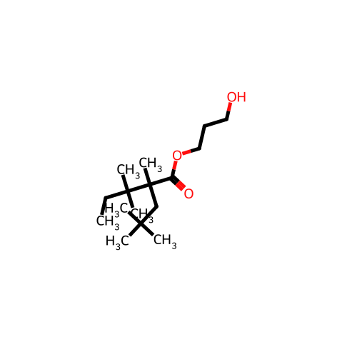 CCC(C)(C)C(C)(CC(C)(C)C)C(=O)OCCCO